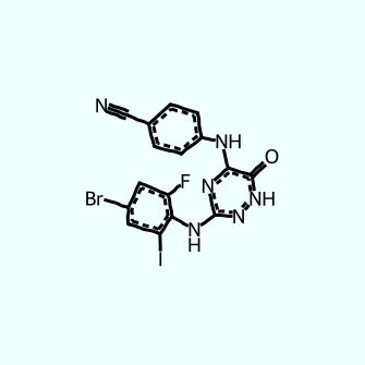 N#Cc1ccc(Nc2nc(Nc3c(F)cc(Br)cc3I)n[nH]c2=O)cc1